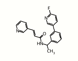 CC(NC(=O)C=Cc1cccnc1)c1cccc(-c2ccc(F)nc2)c1